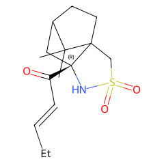 CCC=CC(=O)[C@@]12CC3CCC1(CS(=O)(=O)N2)C3(C)C